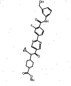 CC(C)(C)OC(=O)N1CCC(N(C(=O)c2cnc(-c3ccc(C(=O)Nc4cccc(CO)c4)c(F)c3)nc2)C2CC2)CC1